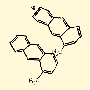 Cc1cccc2cc3ccccc3cc12.Cc1cccc2cc3ccccc3cc12.[Ni]